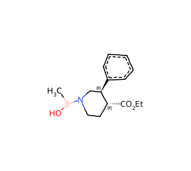 CCOC(=O)[C@@H]1CCN(B(C)O)C[C@H]1c1ccccc1